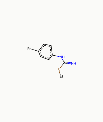 CCSC(=N)Nc1ccc(C(C)C)cc1